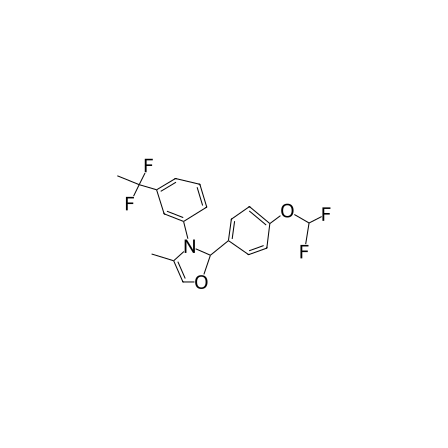 CC1=COC(c2ccc(OC(F)F)cc2)N1c1cccc(C(C)(F)F)c1